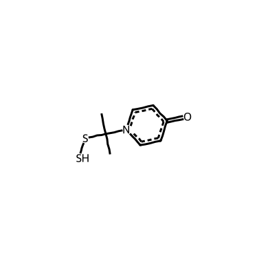 CC(C)(SS)n1ccc(=O)cc1